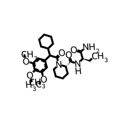 CC[C@@H](NC(=O)[C@@H]1CCCCN1C(=O)C(c1cc(OC)c(OC)c(OC)c1)C1CCCCC1)C(N)=O